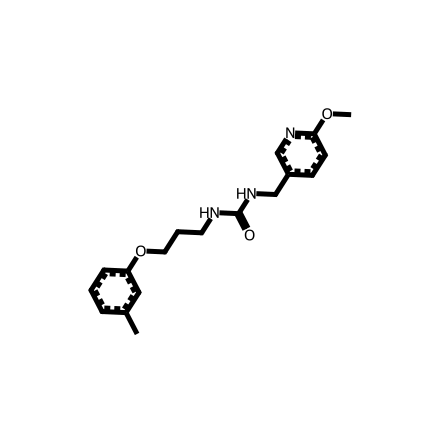 COc1ccc(CNC(=O)NCCCOc2cccc(C)c2)cn1